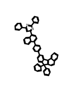 c1ccc(-c2cc(-c3ccc(-c4ccc(-c5ccc6c(c5)-c5c(ccc7ccccc57)C6(c5ccccc5)c5ccccc5)cc4)c4ccccc34)nc(-c3ccccc3)n2)cc1